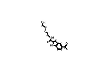 CC(=O)c1ccc2[nH]c(C(=O)NCCOCCO)cc2c1